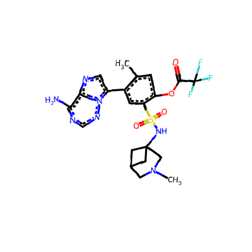 Cc1cc(OC(=O)C(F)(F)F)c(S(=O)(=O)NC23CC(CN(C)C2)C3)cc1-c1cnc2c(N)ncnn12